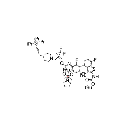 CC(C)[Si](C#CCC1CCN(C[C@@]2(COc3nc(N4CC5CCC(C4)N5C(=O)OC(C)(C)C)c4cc(Cl)c(-c5ccc(F)c6sc(NC(=O)OC(C)(C)C)c(C#N)c56)c(F)c4n3)CC2(F)F)CC1)(C(C)C)C(C)C